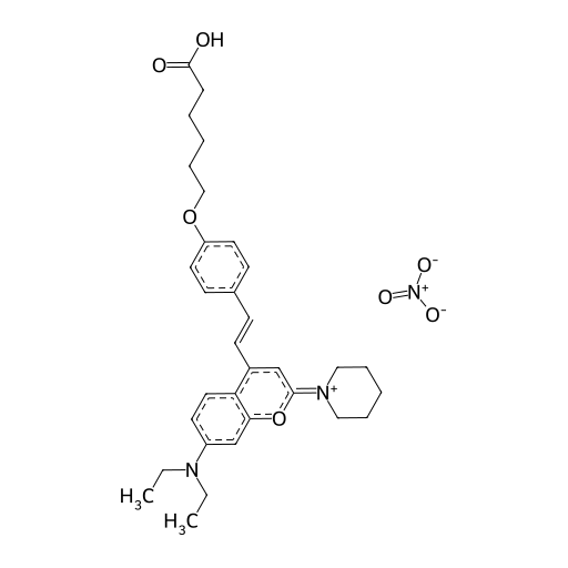 CCN(CC)c1ccc2c(/C=C/c3ccc(OCCCCCC(=O)O)cc3)cc(=[N+]3CCCCC3)oc2c1.O=[N+]([O-])[O-]